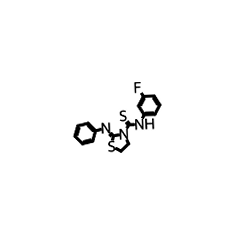 Fc1cccc(NC(=S)N2CCSC2=Nc2ccccc2)c1